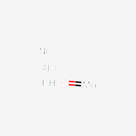 [AlH3].[LiH].[Ni].[O]=[Mn]